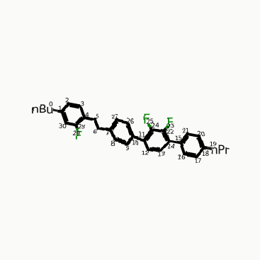 CCCCc1ccc(CCc2ccc(-c3ccc(-c4ccc(CCC)cc4)c(F)c3F)cc2)c(F)c1